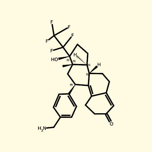 C[C@]12C[C@H](c3ccc(CN)cc3)C3=C4CCC(=O)C=C4CC[C@H]3[C@@H]1CC[C@@]2(O)C(F)(F)C(F)(F)F